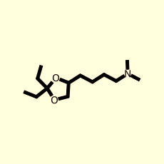 CCC1(CC)OCC(CCCCN(C)C)O1